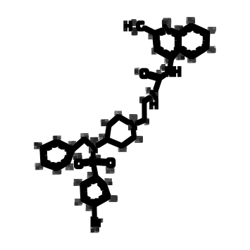 Cc1cc(NC(=O)NCCN2CCC(N(Cc3ccccc3)S(=O)(=O)c3ccc(Br)cc3)CC2)c2ccccc2n1